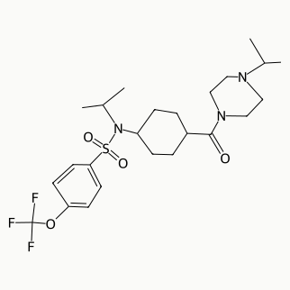 CC(C)N1CCN(C(=O)C2CCC(N(C(C)C)S(=O)(=O)c3ccc(OC(F)(F)F)cc3)CC2)CC1